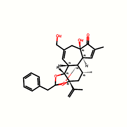 C=C(C)[C@]12C[C@@H](C)[C@@]34OC(Cc5ccccc5)(O[C@@H]1[C@@H]3C=C(CO)C[C@]1(O)C(=O)C(C)=C[C@@H]41)O2